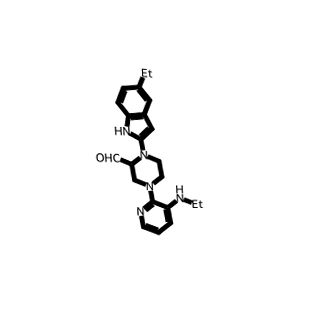 CCNc1cccnc1N1CCN(c2cc3cc(CC)ccc3[nH]2)C(C=O)C1